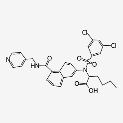 CCCCC(C(=O)O)N(c1ccc2c(C(=O)NCc3ccncc3)cccc2c1)S(=O)(=O)c1cc(Cl)cc(Cl)c1